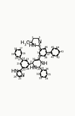 CC1CC=NC(c2cc(C3=CC(c4cc(-c5ccccc5)cc(-c5ncc[nH]5)c4)NC(c4ccccc4)N3)cc(-c3ccccc3)c2)N1